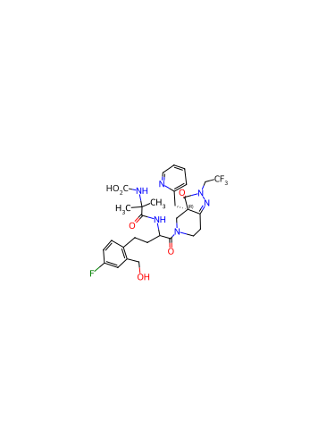 CC(C)(NC(=O)O)C(=O)NC(CCc1ccc(F)cc1CO)C(=O)N1CCC2=NN(CC(F)(F)F)C(=O)[C@]2(Cc2ccccn2)C1